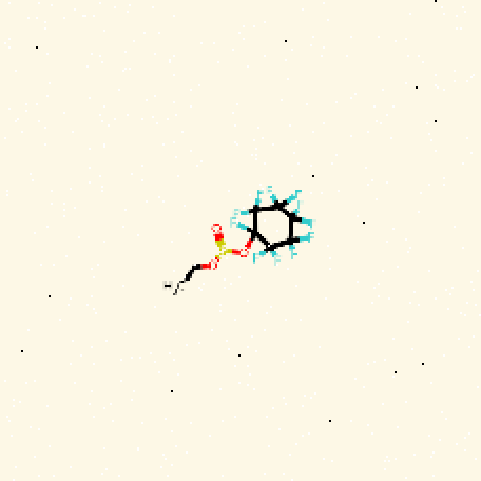 CCOS(=O)OC1(F)C(F)(F)C(F)(F)C(F)(F)C(F)(F)C1(F)F